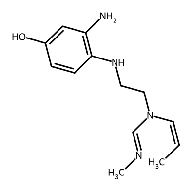 C/C=C\N(/C=N/C)CCNc1ccc(O)cc1N